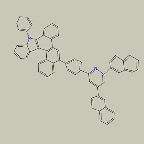 C1=CC(n2c3ccccc3c3c4c5ccccc5c(-c5ccc(-c6cc(-c7ccc8ccccc8c7)cc(-c7ccc8ccccc8c7)n6)cc5)cc4c4ccccc4c32)=CCC1